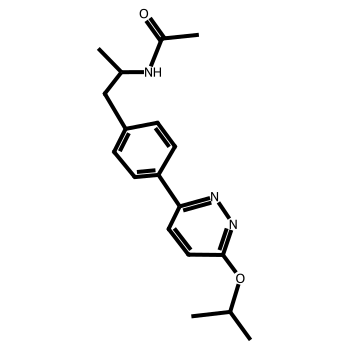 CC(=O)NC(C)Cc1ccc(-c2ccc(OC(C)C)nn2)cc1